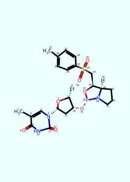 CC[C@H]1O[C@@H](n2cc(C)c(=O)[nH]c2=O)C[C@H]1O[P@]1O[C@@H](CS(=O)(=O)c2ccc(C)cc2)[C@H]2CCCN21